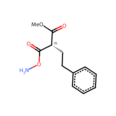 COC(=O)[C@H](CCc1ccccc1)C(=O)ON